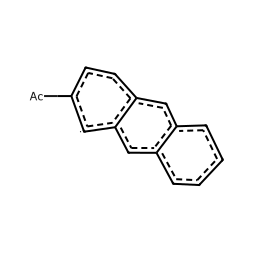 CC(=O)c1[c]c2cc3ccccc3cc2cc1